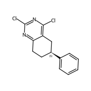 Clc1nc(Cl)c2c(n1)CC[C@H](c1ccccc1)C2